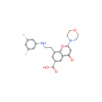 O=C(O)c1cc(CCNc2cc(F)cc(F)c2)c2oc(N3CCOCC3)cc(=O)c2c1